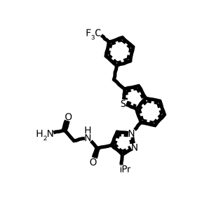 CC(C)c1nn(-c2cccc3cc(Cc4cccc(C(F)(F)F)c4)sc23)cc1C(=O)NCC(N)=O